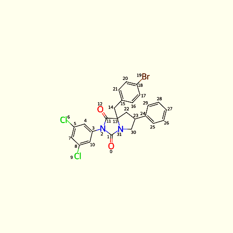 O=C1N(c2cc(Cl)cc(Cl)c2)C(=O)C2(Cc3ccc(Br)cc3)CC(c3ccccc3)CN12